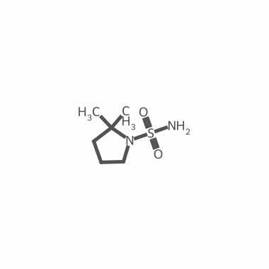 CC1(C)CCCN1S(N)(=O)=O